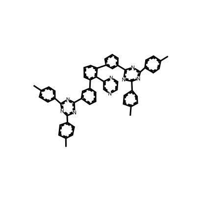 Cc1ccc(-c2nc(-c3ccc(C)cc3)nc(-c3cccc(-c4cccc(-c5cccc(-c6nc(-c7ccc(C)cc7)nc(-c7ccc(C)cc7)n6)c5)c4-c4cnccn4)c3)n2)cc1